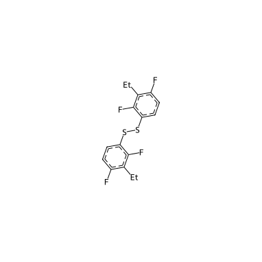 CCc1c(F)ccc(SSc2ccc(F)c(CC)c2F)c1F